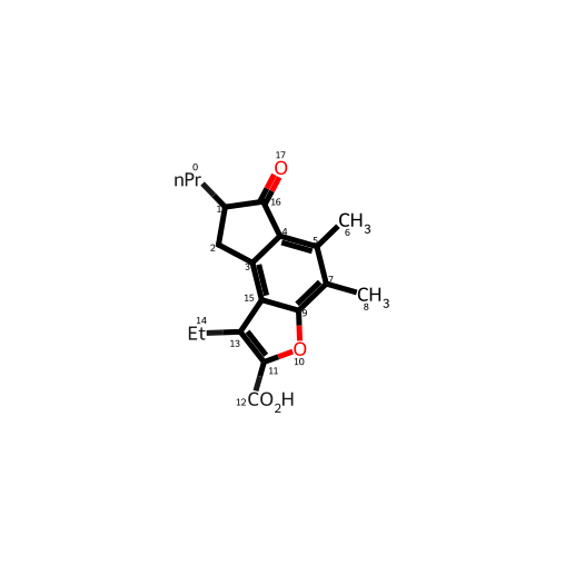 CCCC1Cc2c(c(C)c(C)c3oc(C(=O)O)c(CC)c23)C1=O